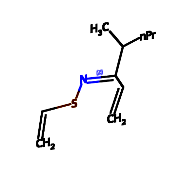 C=CS/N=C(\C=C)C(C)CCC